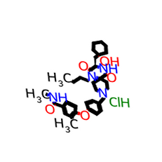 CCCCN1C(=O)[C@@H](CC2(O)CCCCC2)NC(=O)C12CCN(Cc1ccc(Oc3ccc(C(=O)NC)cc3C)cc1)CC2.Cl